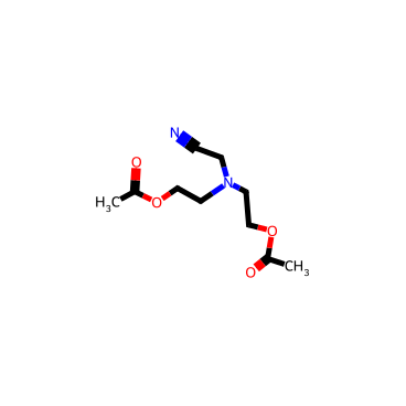 CC(=O)OCCN(CC#N)CCOC(C)=O